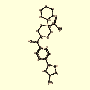 CC1OON(c2ccc(C(=O)N3CCC(C(=O)O)(C4CCCCC4)CC3)cc2)O1